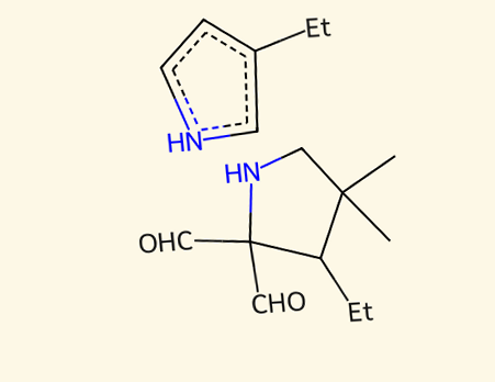 CCC1C(C)(C)CNC1(C=O)C=O.CCc1cc[nH]c1